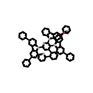 N#Cc1ccc2c(c1)c1ccccc1n2-c1nc(-n2c3ccc(-c4ccccc4)cc3c3cc(-c4ccccc4)ccc32)cc(-c2ccccc2-c2ccccn2)c1-n1c2ccc(-c3ccccc3)cc2c2cc(-c3ccccc3)ccc21